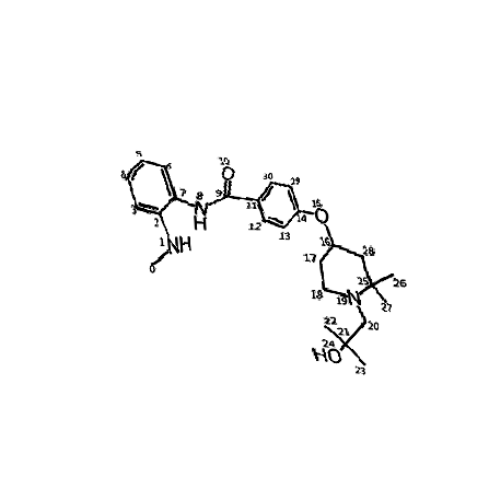 CNc1ccccc1NC(=O)c1ccc(OC2CCN(CC(C)(C)O)C(C)(C)C2)cc1